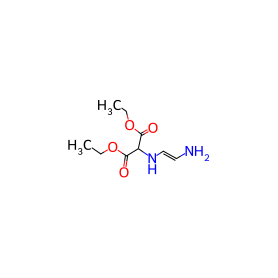 CCOC(=O)C(N/C=C/N)C(=O)OCC